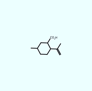 C=C(C)C1CCC(C)CC1C(=O)O